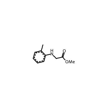 COC(=O)CNc1ccccc1C